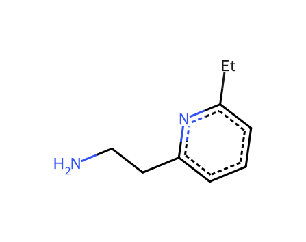 CCc1cccc(CCN)n1